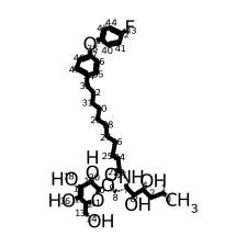 CCC[C@@H](O)[C@@H](O)[C@H](CO[C@H]1OC(CO)C(O)=C(O)C1O)NC(=O)CCCCCCCCCCc1ccc(Oc2ccc(F)cc2)cc1